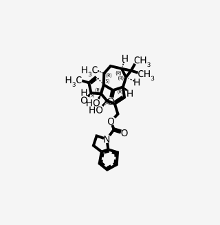 CC1=C[C@]23C(=O)[C@@H](C=C(COC(=O)N4CCc5ccccc54)[C@@H](O)[C@]2(O)[C@H]1O)[C@H]1[C@@H](C[C@H]3C)C1(C)C